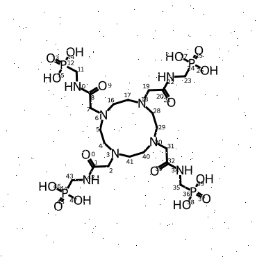 O=C(CN1CCN(CC(=O)NCP(=O)(O)O)CCN(CC(=O)NCP(=O)(O)O)CCN(CC(=O)NCP(=O)(O)O)CC1)NCP(=O)(O)O